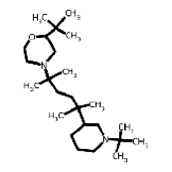 CC(C)(C)C1CN(C(C)(C)CCC(C)(C)C2CCCN(C(C)(C)C)C2)CCO1